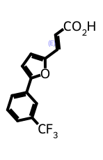 O=C(O)/C=C/c1ccc(-c2cccc(C(F)(F)F)c2)o1